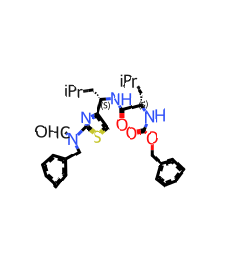 CC(C)C[C@H](NC(=O)OCc1ccccc1)C(=O)N[C@@H](CC(C)C)c1csc(N(C=O)Cc2ccccc2)n1